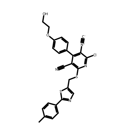 [C-]#[N+]c1c(Cl)nc(SCc2cnc(-c3ccc(C)cc3)s2)c(C#N)c1-c1ccc(OCCO)cc1